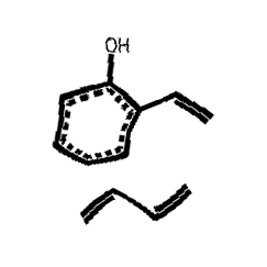 C=CC=C.C=Cc1ccccc1O